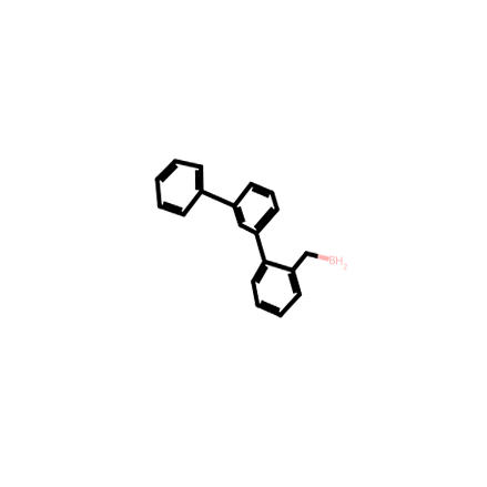 BCc1ccccc1-c1cccc(-c2ccccc2)c1